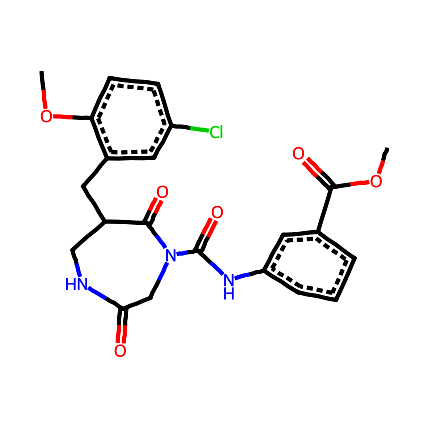 COC(=O)c1cccc(NC(=O)N2CC(=O)NCC(Cc3cc(Cl)ccc3OC)C2=O)c1